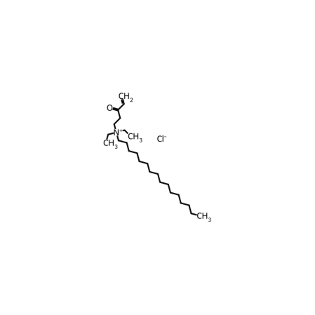 C=CC(=O)CC[N+](CC)(CC)CCCCCCCCCCCCCCCC.[Cl-]